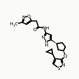 Cc1cc(CC(=O)Nc2cc([C@H]3CC[C@@H](Oc4nscc4C4CC4)C3)[nH]n2)on1